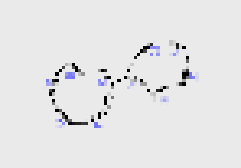 C1=C\C=C/CC(/C2=C\C=C\C=C/C=C\C=C\C2)=C\C=C\C=C/1